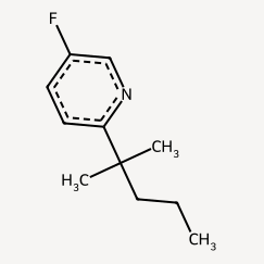 CCCC(C)(C)c1ccc(F)cn1